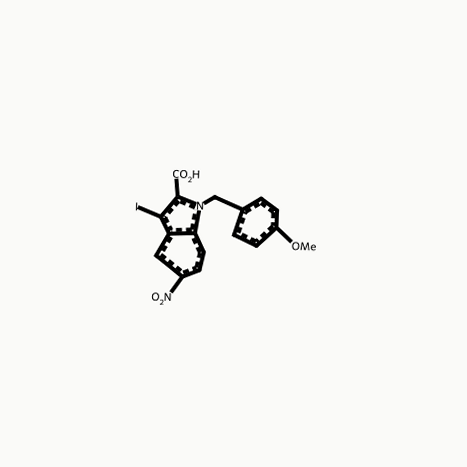 COc1ccc(Cn2c(C(=O)O)c(I)c3cc([N+](=O)[O-])ccc32)cc1